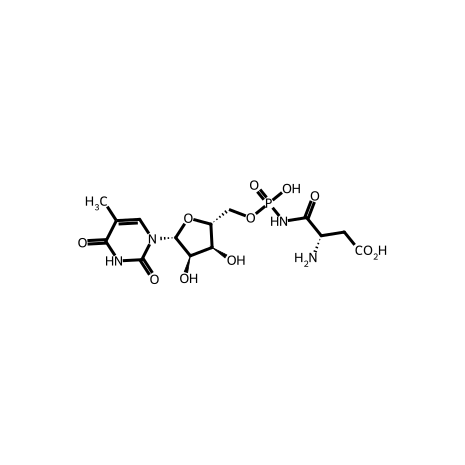 Cc1cn([C@@H]2O[C@H](COP(=O)(O)NC(=O)[C@@H](N)CC(=O)O)[C@@H](O)[C@H]2O)c(=O)[nH]c1=O